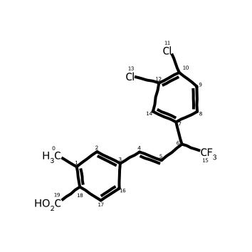 Cc1cc(C=CC(c2ccc(Cl)c(Cl)c2)C(F)(F)F)ccc1C(=O)O